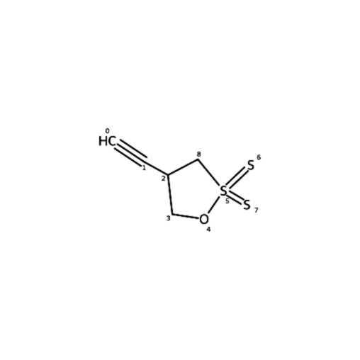 C#CC1COS(=S)(=S)C1